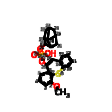 COc1cccc2c1Sc1ccccc1C=C2OP(=O)(O)OC1C2CC3CC(C2)CC1C3